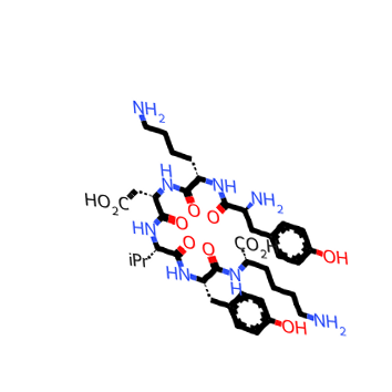 CC(C)[C@H](NC(=O)[C@H](CC(=O)O)NC(=O)[C@H](CCCCN)NC(=O)[C@@H](N)Cc1ccc(O)cc1)C(=O)N[C@@H](Cc1ccc(O)cc1)C(=O)N[C@@H](CCCCN)C(=O)O